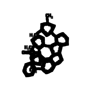 Cc1cc(C)cc(-c2cccc3c4cccc(-c5cc(C)cc(C)c5)c4n(-c4cccc5c4C(=O)N(c4ccccc4-c4ccccc4)C5=O)c23)c1